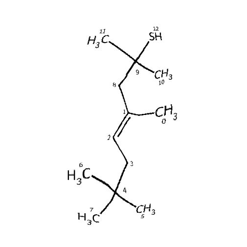 C/C(=C\CC(C)(C)C)CC(C)(C)S